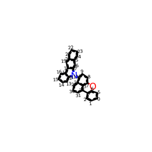 c1ccc2c(c1)Oc1ccc(-n3c4ccccc4c4cc5ccccc5cc43)c3cccc-2c13